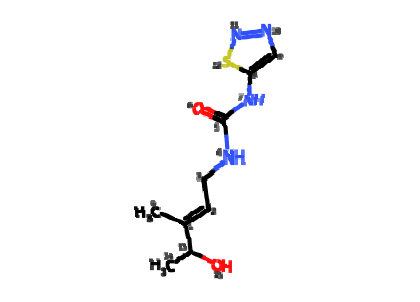 C/C(=C\CNC(=O)Nc1cnns1)C(C)O